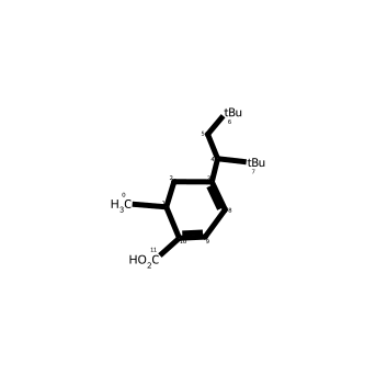 CC1CC(C(CC(C)(C)C)C(C)(C)C)=CC=C1C(=O)O